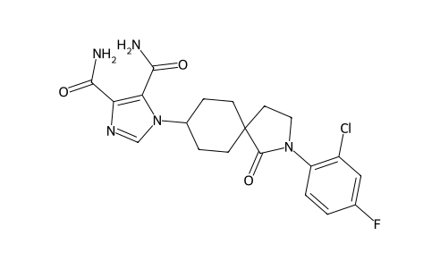 NC(=O)c1ncn(C2CCC3(CC2)CCN(c2ccc(F)cc2Cl)C3=O)c1C(N)=O